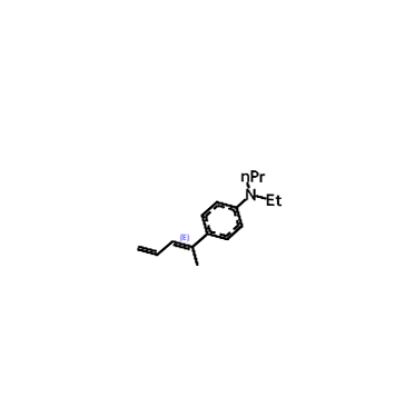 C=C/C=C(\C)c1ccc(N(CC)CCC)cc1